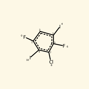 Fc1cc(I)c(F)c(Cl)c1I